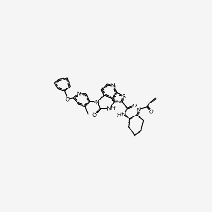 C=CC(=O)/N=C1\CCCC[C@H]1NC(=O)c1sc2nccc3c2c1NC(=O)N3c1cnc(Oc2ccccc2)cc1C